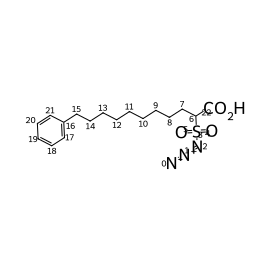 [N-]=[N+]=NS(=O)(=O)C(CCCCCCCCCc1ccccc1)C(=O)O